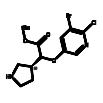 CC(C)(C)OC(=O)C(Oc1cnc(Cl)c(Br)c1)[C@H]1CCNC1